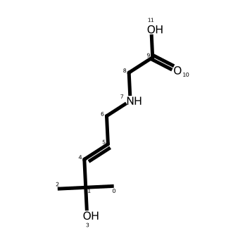 CC(C)(O)/C=C/CNCC(=O)O